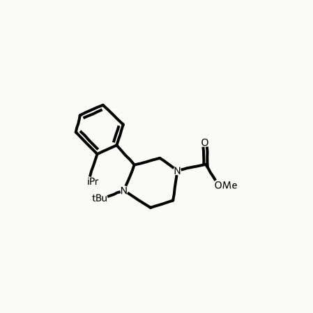 COC(=O)N1CCN(C(C)(C)C)C(c2ccccc2C(C)C)C1